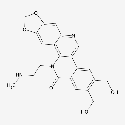 CNCCn1c(=O)c2cc(CO)c(CO)cc2c2cnc3cc4c(cc3c21)OCO4